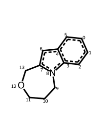 c1ccc2c(c1)cc1n2CCCOC1